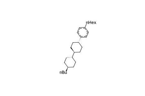 CCCCCCc1ccc([C@H]2CC[C@H]([C@H]3CC[C@H](CCCC)CC3)CC2)cc1